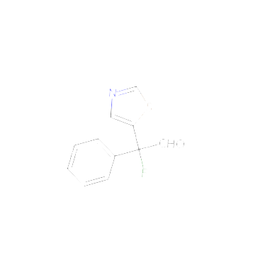 O=CC(F)(c1ccccc1)c1cncs1